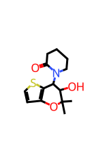 CC1(C)Oc2ccsc2C(N2CCCCC2=O)C1O